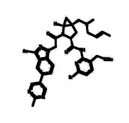 C/C=C/CN(C)C[C@@]12C[C@@H](C(=O)Nc3nc(Br)ccc3COC)N(C(=O)Cn3nc(C(C)=O)c4cc(-c5cnc(C)nc5)ccc43)[C@@H]1C2